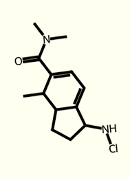 CC1C(C(=O)N(C)C)=CC=C2C(NCl)CCC21